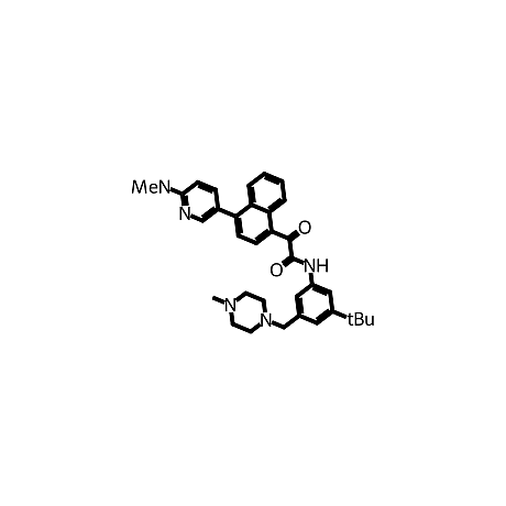 CNc1ccc(-c2ccc(C(=O)C(=O)Nc3cc(CN4CCN(C)CC4)cc(C(C)(C)C)c3)c3ccccc23)cn1